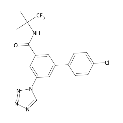 CC(C)(NC(=O)c1cc(-c2ccc(Cl)cc2)cc(-n2cnnn2)c1)C(F)(F)F